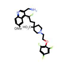 COc1ccc2ncc(CN)c([C@@H](F)CCC3(C(=O)O)CCN(CCOc4c(F)cc(F)cc4F)CC3)c2c1